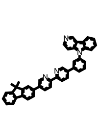 CC1(C)c2ccccc2-c2ccc(-c3ccc(-c4ccc(-c5cccc(-n6c7ccccc7c7cnccc76)c5)cn4)nc3)cc21